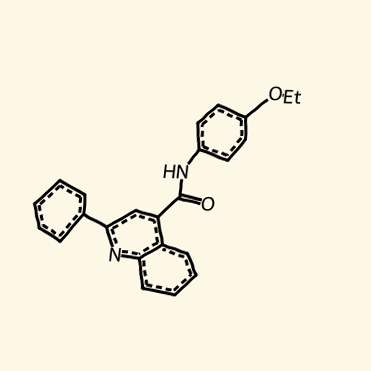 CCOc1ccc(NC(=O)c2cc(-c3ccccc3)nc3ccccc23)cc1